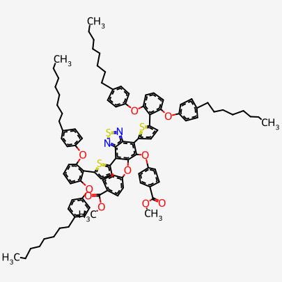 CCCCCCCCc1ccc(Oc2cccc(Oc3ccc(CCCCCCCC)cc3)c2-c2ccc(-c3c(Oc4ccc(C(=O)OC)cc4)c(Oc4ccc(C(=O)OC)cc4)c(-c4ccc(-c5c(Oc6ccc(CCCCCCCC)cc6)cccc5Oc5ccc(CCCCCCCC)cc5)s4)c4nsnc34)s2)cc1